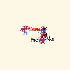 COc1cc2c(cc1OCCCOc1cc3c(cc1OC)C(=O)N1C=C(C)C[C@H]1[C@H](O)N3C(=O)OCc1ccc(NC(=O)[C@H](C)NC(=O)[C@@H](NC(=O)CCOCCOCCOCCOCCOCCOCCOCCOCCNC(=O)CCN3C(=O)CC(C4CCCCCCC4)C3=O)C(C)C)cc1)N=CC1CC(C)=CN1C2=O